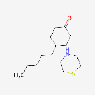 C1CSCCN1.CCCCCC1CCC(=O)CC1